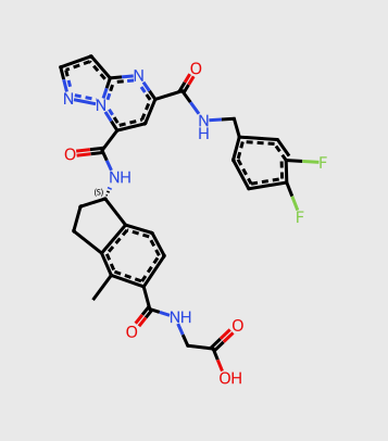 Cc1c(C(=O)NCC(=O)O)ccc2c1CC[C@@H]2NC(=O)c1cc(C(=O)NCc2ccc(F)c(F)c2)nc2ccnn12